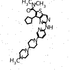 CN1CCN(C2CCN(c3ccc(Nc4ncc5sc(C(=O)N(C)C)c(C6CCCC6)c5n4)nc3)CC2)CC1